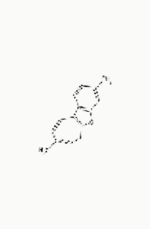 CC1=CCc2oc3cc(C)ccc3c2C=C1